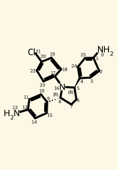 Nc1ccc([C@H]2CC[C@H](c3ccc(N)cc3)N2c2ccc(Cl)cc2)cc1